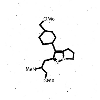 CNCC(Cc1nn2c(c1C1CCC(COC)CC1)CCC2)NC